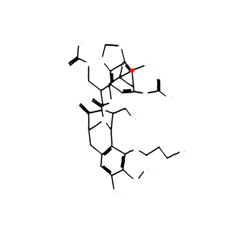 CCCCOc1c(OC)c(C)cc2c1C1C(CO)N(C(COC(C)=O)c3cc(OC(C)=O)c(C)c4c3OCO4)C(=O)C(C2)N1C(=O)OCC(Cl)(Cl)Cl